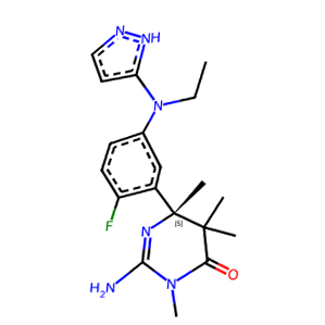 CCN(c1ccc(F)c([C@@]2(C)N=C(N)N(C)C(=O)C2(C)C)c1)c1ccn[nH]1